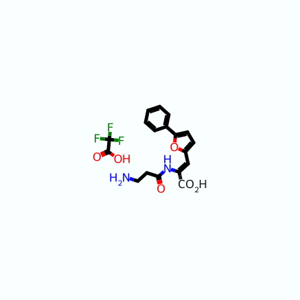 NCCC(=O)NC(=Cc1ccc(-c2ccccc2)o1)C(=O)O.O=C(O)C(F)(F)F